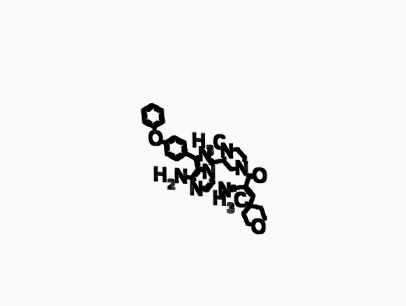 CN1CCN(C(=O)C(C#N)=CC2(C)CCOCC2)CC1c1nc(-c2ccc(Oc3ccccc3)cc2)c2c(N)nccn12